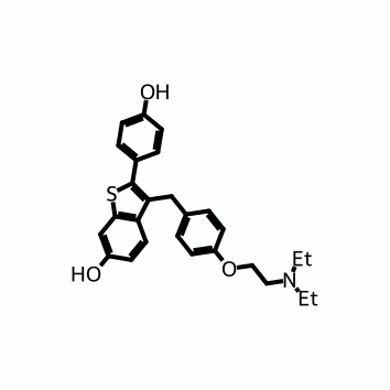 CCN(CC)CCOc1ccc(Cc2c(-c3ccc(O)cc3)sc3cc(O)ccc23)cc1